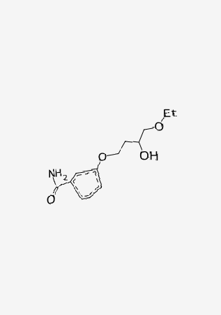 CCOCC(O)CCOc1cccc(C(N)=O)c1